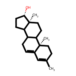 CC1=CC2=CCC3C(CC[C@@]4(C)C3CC[C@@H]4O)[C@@]2(C)CC1